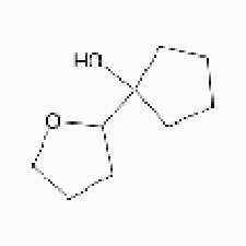 OC1(C2CCCO2)CCCC1